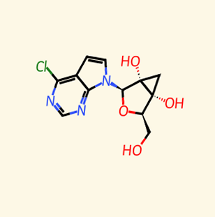 OC[C@H]1O[C@@H](n2ccc3c(Cl)ncnc32)[C@@]2(O)C[C@@]12O